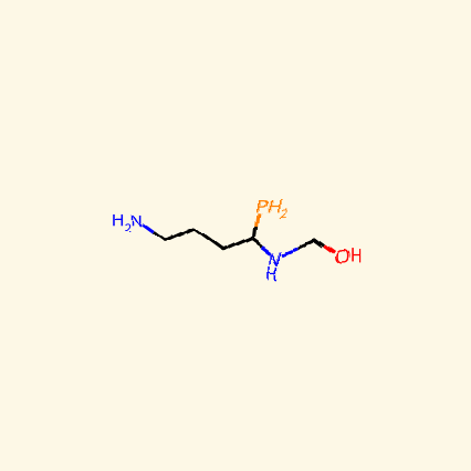 NCCCC(P)NCO